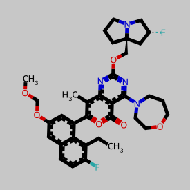 CCc1c(F)ccc2cc(OCOC)cc(-c3oc(=O)c4c(N5CCCOCC5)nc(OC[C@@]56CCCN5C[C@H](F)C6)nc4c3C)c12